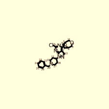 Clc1nc(N2C3CCC2COC3)c2cnn(C3CCN(Cc4ccccc4)CC3)c2n1